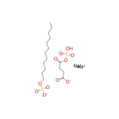 CCCCCCCCCCCCOS(=O)(=O)[O-].O=C([O-])CCC(=O)OS(=O)(=O)O.[Na+].[Na+]